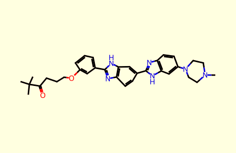 CN1CCN(c2ccc3nc(-c4ccc5nc(-c6cccc(OCCCC(=O)C(C)(C)C)c6)[nH]c5c4)[nH]c3c2)CC1